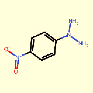 NN(N)c1ccc([N+](=O)[O-])cc1